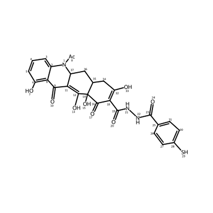 CC(=O)N1c2cccc(O)c2C(=O)C2=C(O)C3(O)C(=O)C(C(=O)NNC(=O)c4ccc(S)cc4)=C(O)CC3CC21